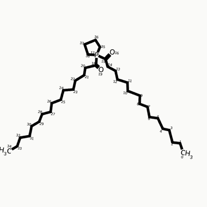 CCCCCCCCCCCCCCCC(=O)[P]1(C(=O)CCCCCCCCCCCCCCC)CCCC1